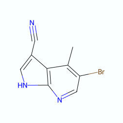 Cc1c(Br)cnc2[nH]cc(C#N)c12